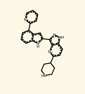 c1ccc(-c2cccc3[nH]c(-c4n[nH]c5ccc(C6CCNCC6)nc45)cc23)nc1